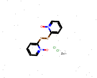 [Cl-].[Cl-].[O-][n+]1ccccc1SSc1cccc[n+]1[O-].[Zn+2]